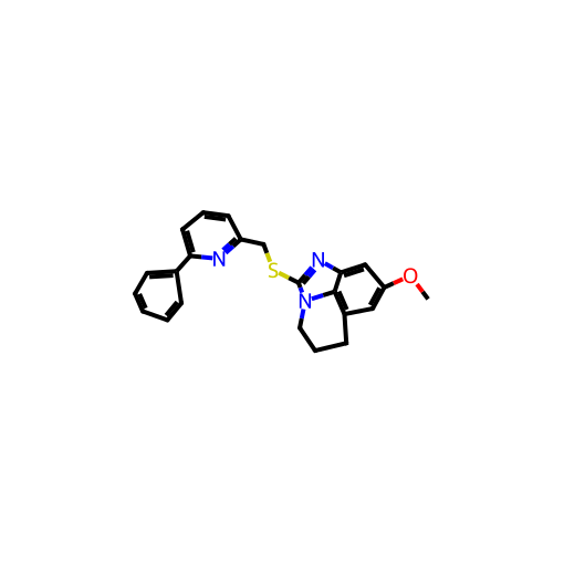 COc1cc2c3c(c1)nc(SCc1cccc(-c4ccccc4)n1)n3CCC2